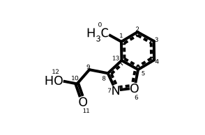 Cc1cccc2onc(CC(=O)O)c12